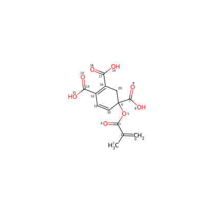 C=C(C)C(=O)OC1(C(=O)O)C=CC(C(=O)O)=C(C(=O)O)C1